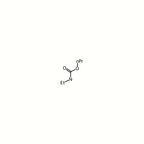 CCCOC(=O)[N]CC